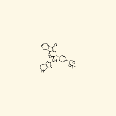 CC1(C)OCC(c2ccc(C(CN3C(=O)c4ccccc4C3=O)C(=O)Nc3cc4ccncc4s3)cc2)O1